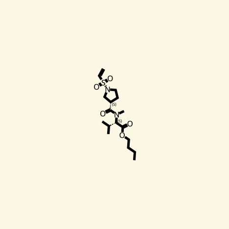 C=CS(=O)(=O)N1CC[C@H](C(=O)N(C)[C@H](C(=O)OCCCC)C(C)C)C1